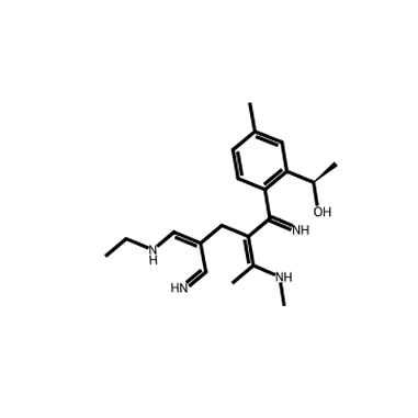 CCN/C=C(\C=N)C/C(C(=N)c1ccc(C)cc1[C@@H](C)O)=C(\C)NC